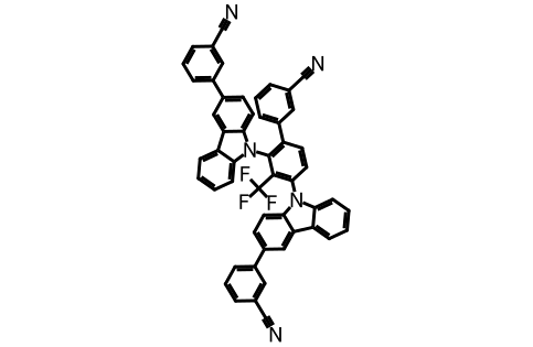 N#Cc1cccc(-c2ccc3c(c2)c2ccccc2n3-c2ccc(-c3cccc(C#N)c3)c(-n3c4ccccc4c4cc(-c5cccc(C#N)c5)ccc43)c2C(F)(F)F)c1